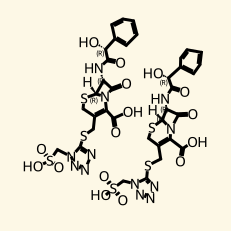 O=C(O)C1=C(CSc2nnnn2CS(=O)(=O)O)CS[C@@H]2[C@H](NC(=O)[C@H](O)c3ccccc3)C(=O)N12.O=C(O)C1=C(CSc2nnnn2CS(=O)(=O)O)CS[C@@H]2[C@H](NC(=O)[C@H](O)c3ccccc3)C(=O)N12